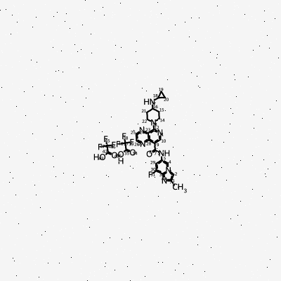 Cc1cn2cc(NC(=O)c3cnc(N4CCC(NC5CC5)CC4)c4nccnc34)cc(F)c2n1.O=C(O)C(F)(F)F.O=C(O)C(F)(F)F